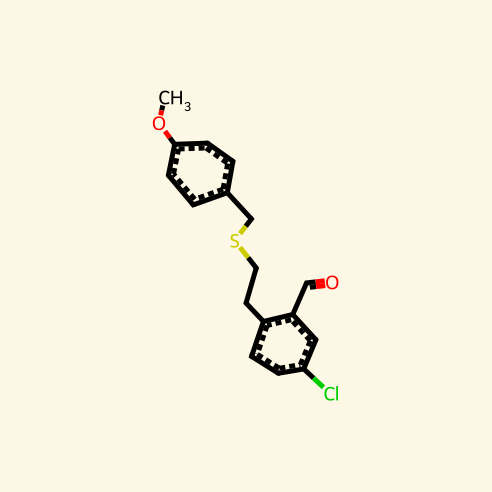 COc1ccc(CSCCc2ccc(Cl)cc2C=O)cc1